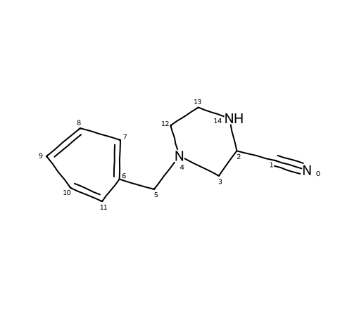 N#CC1CN(Cc2ccccc2)CCN1